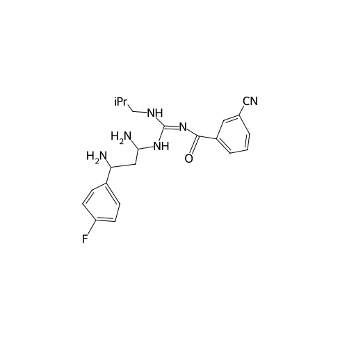 CC(C)CN/C(=N/C(=O)c1cccc(C#N)c1)NC(N)CC(N)c1ccc(F)cc1